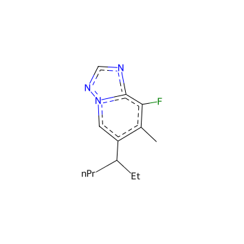 CCCC(CC)c1cn2ncnc2c(F)c1C